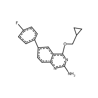 Nc1nc(OCC2CC2)c2cc(-c3ccc(F)cc3)ccc2n1